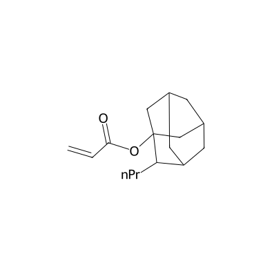 C=CC(=O)OC12CC3CC(CC(C3)C1CCC)C2